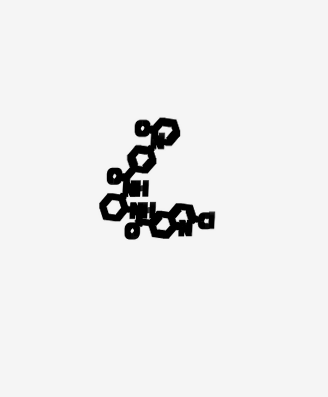 O=C(NC1CCCCC1NC(=O)c1ccc2nc(Cl)ccc2c1)c1ccc(-n2ccccc2=O)cc1